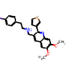 COc1cc2cc(CNCCc3ccc(I)cc3)c(-c3ccsc3)nc2cc1OC